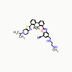 CNCCNCc1cc(C#N)c2oc(-c3cccc(-c4cccc(-c5nc6c(s5)CN(C(C)C)CC6)c4C)c3C)nc2c1